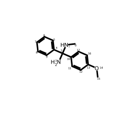 CNC(N)(c1ccccc1)c1ccc(OC)cc1